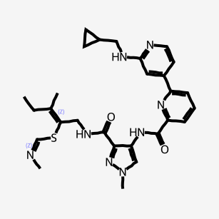 CC/C(C)=C(/CNC(=O)c1nn(C)cc1NC(=O)c1cccc(-c2ccnc(NCC3CC3)c2)n1)S/C=N\C